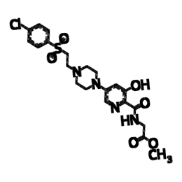 COC(=O)CNC(=O)c1ncc(N2CCN(CCS(=O)(=O)c3ccc(Cl)cc3)CC2)cc1O